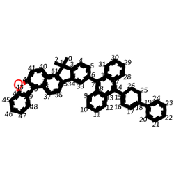 CC1(C)c2ccc(-c3c4ccccc4c(C4=CC=C(c5ccccc5)CC4)c4ccccc34)cc2-c2ccc3c(ccc4oc5ccccc5c43)c21